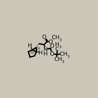 COC(=O)C(C[C@@H]1[C@@H]2CCC[C@@H]21)NC(=O)OC(C)(C)C